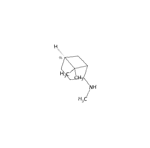 CNC1CC[C@H]2CC1C2(C)C